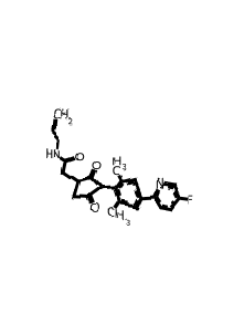 C=CCNC(=O)CC1CC(=O)C(c2c(C)cc(-c3ccc(F)cn3)cc2C)C1=O